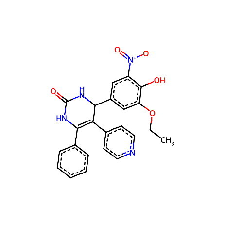 CCOc1cc(C2NC(=O)NC(c3ccccc3)=C2c2ccncc2)cc([N+](=O)[O-])c1O